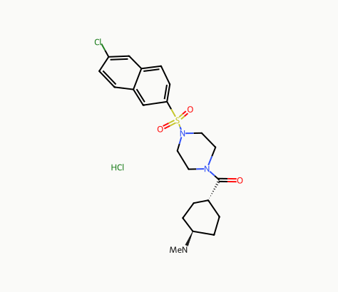 CN[C@H]1CC[C@H](C(=O)N2CCN(S(=O)(=O)c3ccc4cc(Cl)ccc4c3)CC2)CC1.Cl